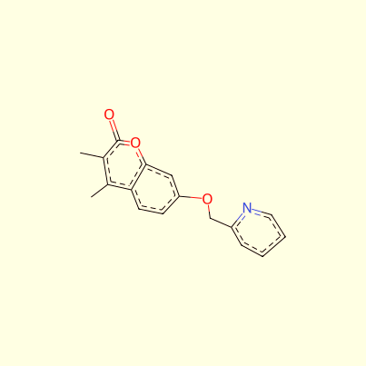 Cc1c(C)c2ccc(OCc3ccccn3)cc2oc1=O